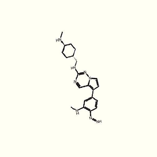 CNc1cc(-c2ccn3nc(NC[C@H]4CC[C@H](NC)CC4)ncc23)ccc1N=N